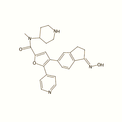 CN(C(=O)c1cc(-c2ccc3c(c2)CCC3=NO)c(-c2ccncc2)o1)C1CCNCC1